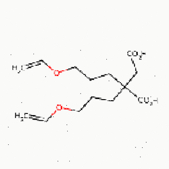 C=COCCCC(CCCOC=C)(CC(=O)O)C(=O)O